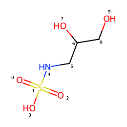 O=S(=O)(O)NCC(O)CO